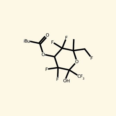 CCC(C)C(=O)OC1C(F)(F)C(C)(CF)OC(O)(C(F)(F)F)C1(F)F